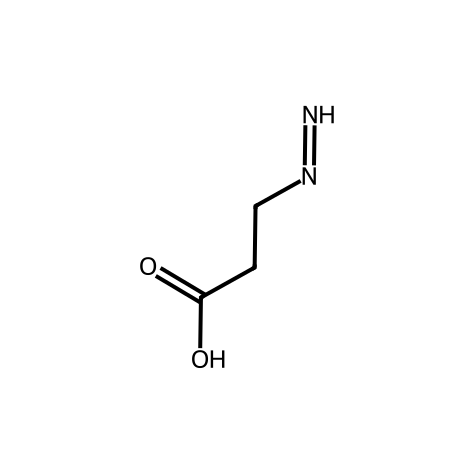 N=NCCC(=O)O